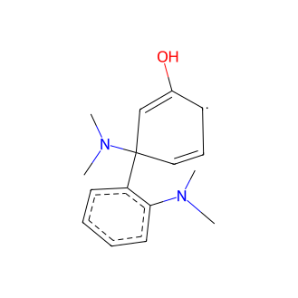 CN(C)c1ccccc1C1(N(C)C)C=C[CH]C(O)=C1